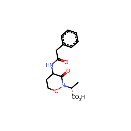 C[C@H](C(=O)O)N1OCCC(NC(=O)Cc2ccccc2)C1=O